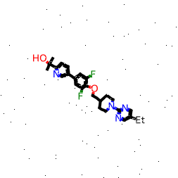 CCc1cnc(N2CCC(COc3c(F)cc(-c4ccc(C(C)(C)O)nc4)cc3F)CC2)nc1